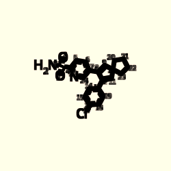 NS(=O)(=O)c1ccc(C2=CC3(C=C2c2ccc(Cl)cc2)CCCC3)cn1